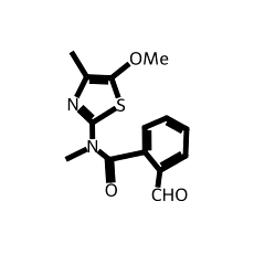 COc1sc(N(C)C(=O)c2ccccc2C=O)nc1C